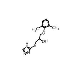 Cc1c[c]cc(C)c1OCC(O)CSc1nnc[nH]1